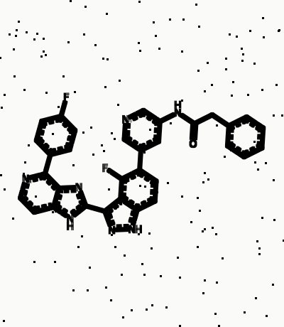 O=C(Cc1ccccc1)Nc1cncc(-c2ccc3[nH]nc(-c4nc5c(-c6ccc(F)cc6)nccc5[nH]4)c3c2F)c1